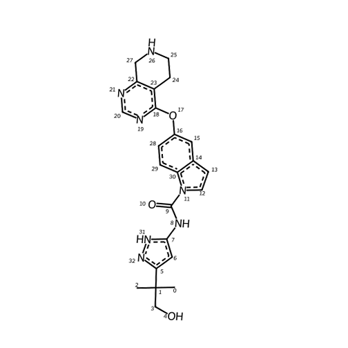 CC(C)(CO)c1cc(NC(=O)n2ccc3cc(Oc4ncnc5c4CCNC5)ccc32)[nH]n1